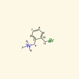 C[N+](C)(C)Cc1ccccc1CBr